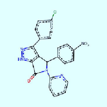 O=C1c2[nH]nc(-c3ccc(Cl)cc3)c2C(c2ccc([N+](=O)[O-])cc2)N1c1ccccn1